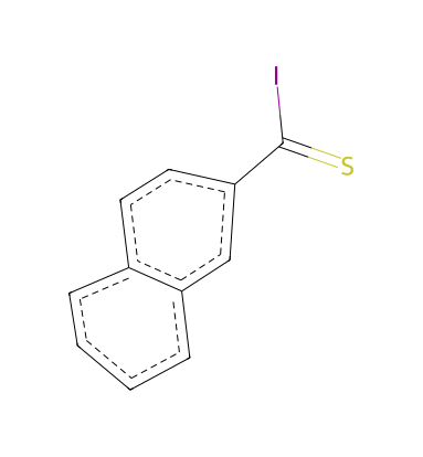 S=C(I)c1ccc2ccccc2c1